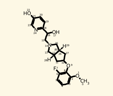 COc1cccc(F)c1OC1C[C@@H]2CN(CC(O)c3ccc(O)cn3)C[C@@H]2C1